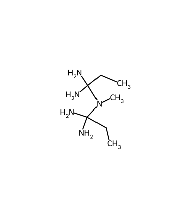 CCC(N)(N)N(C)C(N)(N)CC